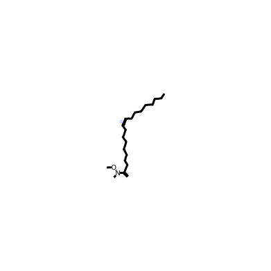 C=C(CCCCCCC/C=C\CCCCCCCC)N(C)OC